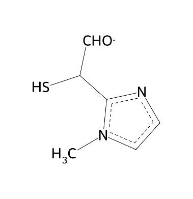 Cn1ccnc1C(S)[C]=O